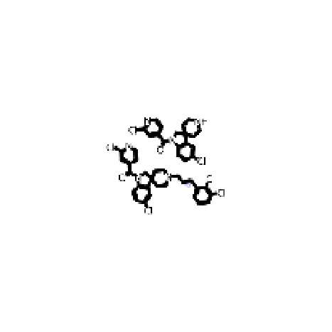 O=C(c1ccnc(Cl)c1)N1CC2(CCN(C/C=C/c3cccc(Cl)c3Cl)CC2)c2cc(Cl)ccc21.O=C(c1ccnc(Cl)c1)N1CC2(CCNCC2)c2cc(Cl)ccc21